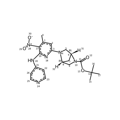 Cc1cc(N2C[C@H]3C[C@@H]2CN3C(=O)OC(C)(C)C)nc(Nc2ccncc2)c1[N+](=O)[O-]